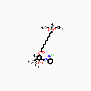 CCO[Si](C)(CCCCCCCCCCC(=O)Oc1cc(/C=N/[C@@H]2CCCC[C@H]2NCl)c(O)c(C(C)(C)C)c1)OCC